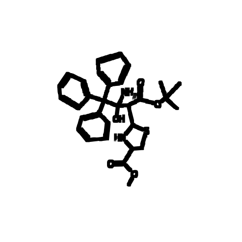 COC(=O)C1CSC(C(C(=O)OC(C)(C)C)C(N)(O)C(c2ccccc2)(c2ccccc2)c2ccccc2)N1